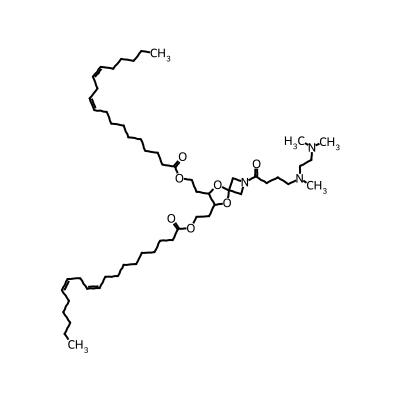 CCCCC/C=C\C/C=C\CCCCCCCCC(=O)OCCC1OC2(CN(C(=O)CCCN(C)CCN(C)C)C2)OC1CCOC(=O)CCCCCCCC/C=C\C/C=C\CCCCC